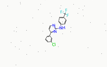 FC(F)(F)c1ccc(Nc2nccc(-c3cccc(Cl)c3)n2)cc1